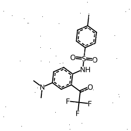 Cc1ccc(S(=O)(=O)Nc2ccc(N(C)C)cc2C(=O)C(F)(F)F)cc1